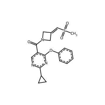 CS(=O)(=O)C=C1CN(C(=O)c2cnc(C3CC3)nc2Oc2ccccc2)C1